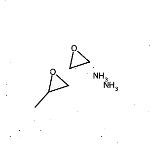 C1CO1.CC1CO1.N.N